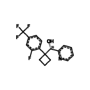 O[C@H](c1ccccn1)C1(c2ccc(C(F)(F)F)cc2F)CCC1